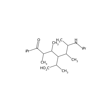 CC(C)NC(C)C(C)C(C(C)C(=O)O)C(C)C(C)C(=O)C(C)C